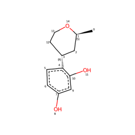 C[C@H]1C[C@H](c2ccc(O)cc2O)CCO1